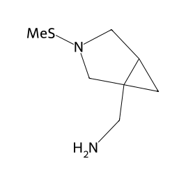 CSN1CC2CC2(CN)C1